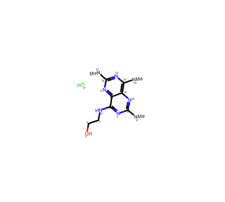 CNc1nc(NCCO)c2nc(NC)nc(NC)c2n1.Cl